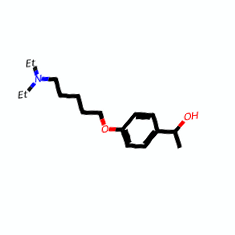 CCN(CC)CCCCCOc1ccc(C(C)O)cc1